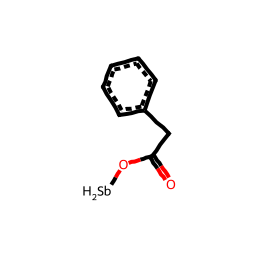 O=C(Cc1ccccc1)[O][SbH2]